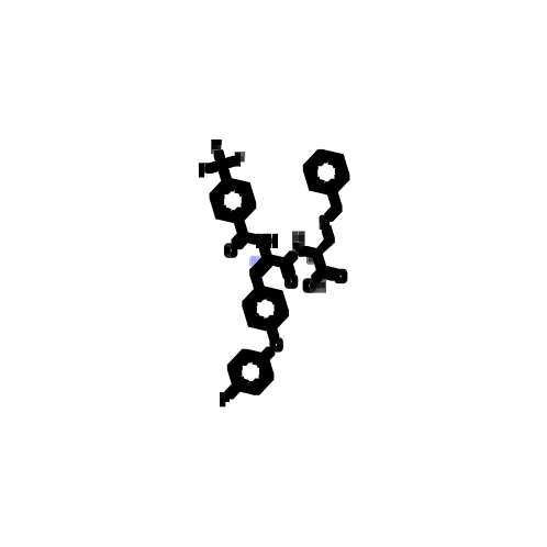 O=C(N[C@@H](CSCc1ccccc1)C(=O)O)/C(=C\c1ccc(Oc2ccc(F)cc2)cc1)NC(=O)c1ccc(C(F)(F)F)cc1